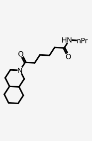 CCCNC(=O)CCCCC(=O)N1CCC2CCCCC2C1